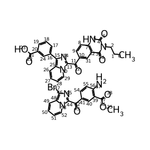 CCCn1c(=O)[nH]c2ccc(C(=O)c3nc(-c4cccc(C(=O)O)c4)c4ccccn34)cc2c1=O.COC(=O)c1cc(C(=O)c2nc(Br)c3ccccn23)ccc1N